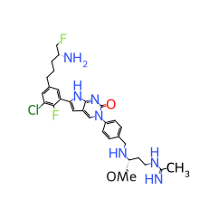 COC[C@@H](CCNC(C)=N)NCc1ccc(-n2cc3cc(-c4cc(CCC[C@@H](N)CF)cc(Cl)c4F)[nH]c3nc2=O)cc1